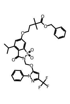 CC(C)c1cc(OCCC(C)(C)C(=O)OCc2ccccc2)cc2c1C(=O)N(COc1cc(C(F)(F)F)nn1-c1ccccc1)S2(=O)=O